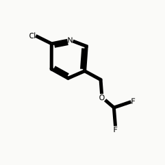 FC(F)OCc1ccc(Cl)nc1